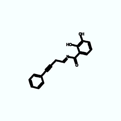 O=C(N=CCC#Cc1ccccc1)c1cccc(O)c1O